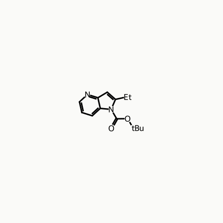 CCc1cc2ncccc2n1C(=O)OC(C)(C)C